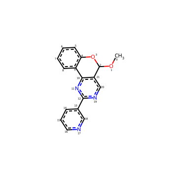 COC1Oc2ccccc2-c2nc(-c3cccnc3)ncc21